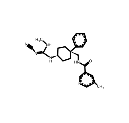 CN/C(=N\C#N)N[C@H]1CC[C@](CNC(=O)c2cncc(C)c2)(c2ccccc2)CC1